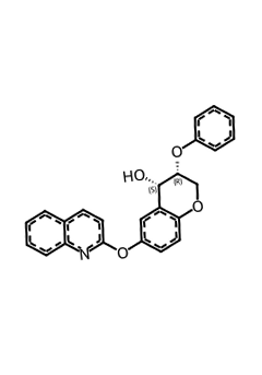 O[C@H]1c2cc(Oc3ccc4ccccc4n3)ccc2OC[C@H]1Oc1ccccc1